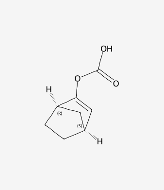 O=C(O)OC1=C[C@H]2CC[C@@H]1C2